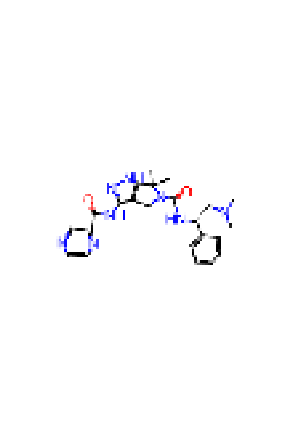 CN(C)C[C@@H](NC(=O)N1Cc2c(NC(=O)c3cnccn3)n[nH]c2C1(C)C)c1ccccc1